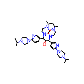 CC(C)N1CCN(c2ccc(C(C(=O)C(c3ccc(N4CCN(C(C)C)CC4)nc3)N3CCN(C(C)C)CC3)N3CCN(C(C)C)CC3)cn2)CC1